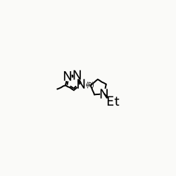 CCN1CC[C@@H](n2cc(C)nn2)C1